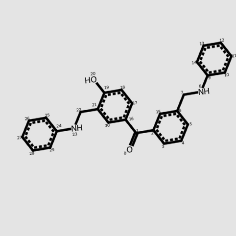 O=C(c1cccc(CNc2ccccc2)c1)c1ccc(O)c(CNc2ccccc2)c1